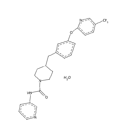 O.O=C(Nc1cccnc1)N1CCC(Cc2cccc(Oc3ccc(C(F)(F)F)cn3)c2)CC1